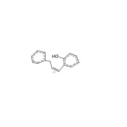 Oc1ccccc1/C=C\Cc1ccccc1